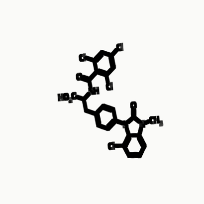 Cn1c(=O)n(-c2ccc(CC(NC(=O)c3c(Cl)cc(Cl)cc3Cl)C(=O)O)cc2)c2c(Cl)cccc21